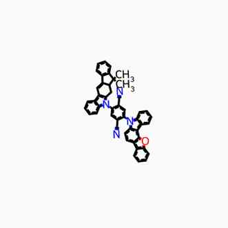 CC1(C)c2ccccc2C2=Cc3c(n(-c4cc(C#N)c(-n5c6ccccc6c6c7oc8ccccc8c7ccc65)cc4C#N)c4ccccc34)CC21